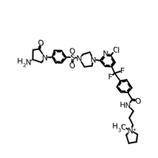 C[N+]1(CCCNC(=O)c2ccc(C(F)(F)c3cc(Cl)nc(N4CCN(S(=O)(=O)c5ccc(N6C[C@H](N)CC6=O)cc5)CC4)c3)cc2)CCCC1